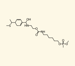 COP(C)(=O)OCCCCCCNC(=O)OCCNC(O)C1=CCC(C(C)SC)C=C1